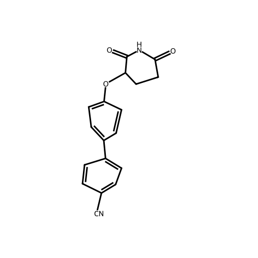 N#Cc1ccc(-c2ccc(OC3CCC(=O)NC3=O)cc2)cc1